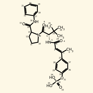 C/C(=C\C(=O)N[C@H](C(=O)N1CCCC1C(=O)Nc1ccccc1)C(C)(C)C)c1ccc(OP(=O)(O)O)cc1